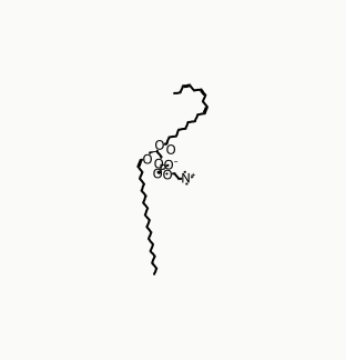 CC/C=C\C/C=C\C/C=C\CCCCCCCC(=O)O[C@H](CO/C=C\CCCCCCCCCCCCCCCCCC)COP(=O)([O-])OCC[N+](C)(C)C